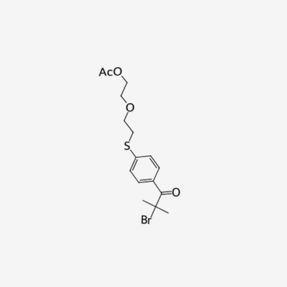 CC(=O)OCCOCCSc1ccc(C(=O)C(C)(C)Br)cc1